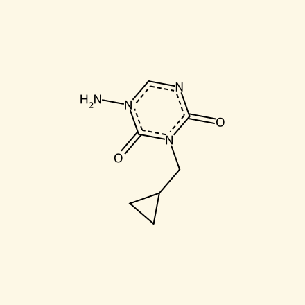 Nn1cnc(=O)n(CC2CC2)c1=O